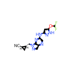 N#C[C@@H]1C[C@H]1Cn1ncc2ncc(Nc3cc(OC(F)F)[nH]n3)nc21